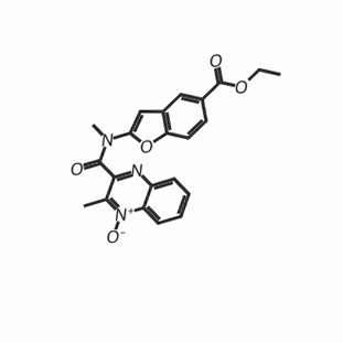 CCOC(=O)c1ccc2oc(N(C)C(=O)c3nc4ccccc4[n+]([O-])c3C)cc2c1